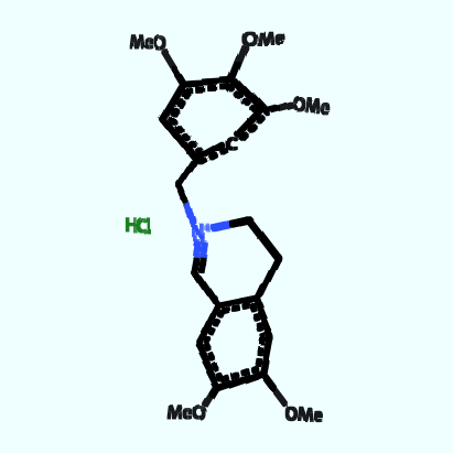 COc1cc2c(cc1OC)CC[N+](Cc1cc(OC)c(OC)c(OC)c1)=C2.Cl